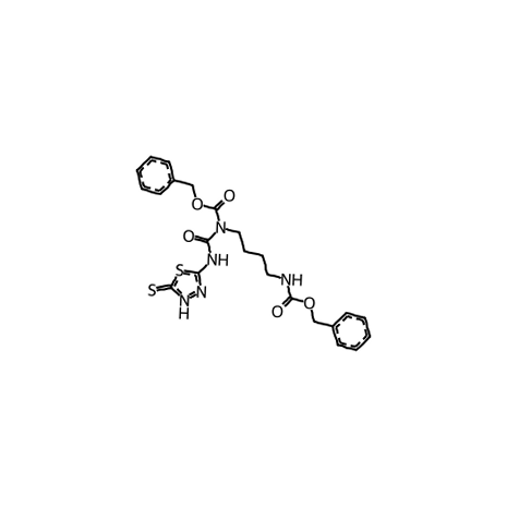 O=C(NCCCCN(C(=O)Nc1n[nH]c(=S)s1)C(=O)OCc1ccccc1)OCc1ccccc1